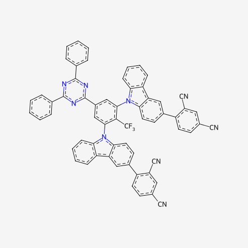 N#Cc1ccc(-c2ccc3c(c2)c2ccccc2n3-c2cc(-c3nc(-c4ccccc4)nc(-c4ccccc4)n3)cc(-n3c4ccccc4c4cc(-c5ccc(C#N)cc5C#N)ccc43)c2C(F)(F)F)c(C#N)c1